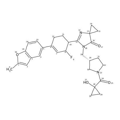 Cc1cc2cc(C3=CC(F)C(C4=NC5(CC5)C(=O)N4C[C@@H]4CCN(C(=O)C5(O)CC5)C4)CC3)ccc2o1